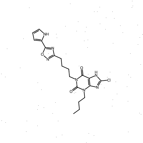 CCCCn1c(=O)n(CCCCc2noc(-c3ccc[nH]3)n2)c(=O)c2[nH]c(Cl)nc21